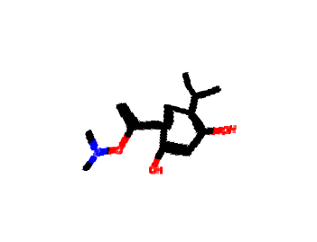 C=C(ON(C)C)c1cc(C(C)C)c(O)cc1O